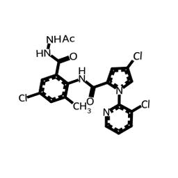 CC(=O)NNC(=O)c1cc(Cl)cc(C)c1NC(=O)c1cc(Cl)cn1-c1ncccc1Cl